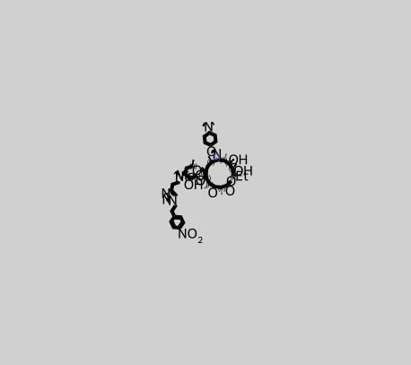 CC[C@H]1OC(=O)[C@H](C)C(=O)[C@H](C)[C@@H](O[C@@H]2O[C@H](C)C[C@H](N(C)CCc3cn(CCc4ccc([N+](=O)[O-])cc4)nn3)[C@H]2O)[C@](C)(OC)C[C@@H](C)/C(=N\O[C@H]2CC[C@@H](N(C)C)CC2)[C@H](C)[C@@H](O)[C@]1(C)O